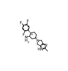 Cc1nc2c([nH]1)CN([C@H]1CC[C@H](c3cc(F)c(F)cc3F)C(N)C1)C2